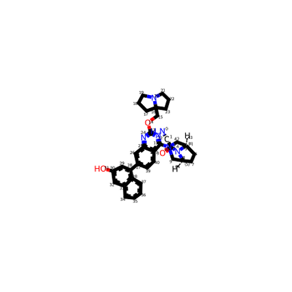 NCC(=O)N1[C@@H]2CC[C@H]1CN(c1nc(OCC34CCCN3CCC4)nc3cc(-c4cc(O)cc5ccccc45)ccc13)C2